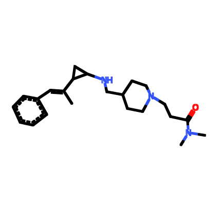 C/C(=C\c1ccccc1)C1CC1NCC1CCN(CCC(=O)N(C)C)CC1